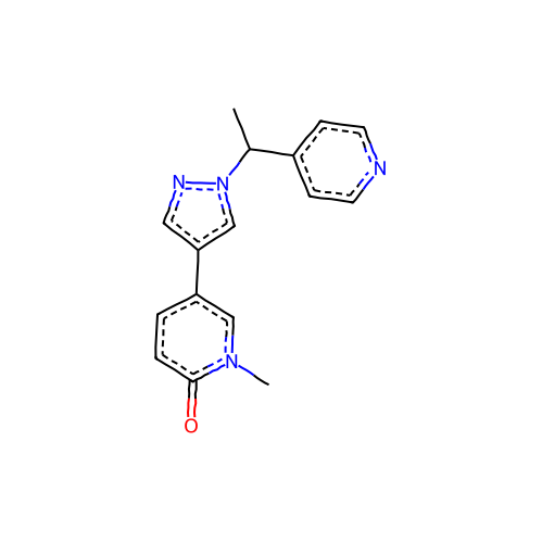 CC(c1ccncc1)n1cc(-c2ccc(=O)n(C)c2)cn1